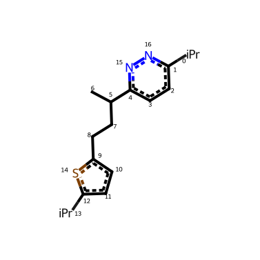 CC(C)c1ccc(C(C)CCc2ccc(C(C)C)s2)nn1